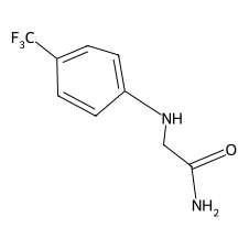 NC(=O)CNc1ccc(C(F)(F)F)cc1